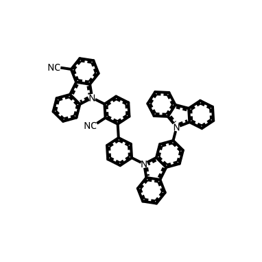 N#Cc1c(-c2cccc(-n3c4ccccc4c4ccc(-n5c6ccccc6c6ccccc65)cc43)c2)cccc1-n1c2ccccc2c2c(C#N)cccc21